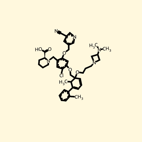 Cc1ccccc1C1=CC=CC(COc2cc(OCc3cncc(C#N)c3)c(CN3CCCC[C@H]3C(=O)O)cc2Cl)(OCCCN2CC(N(C)C)C2)C1C